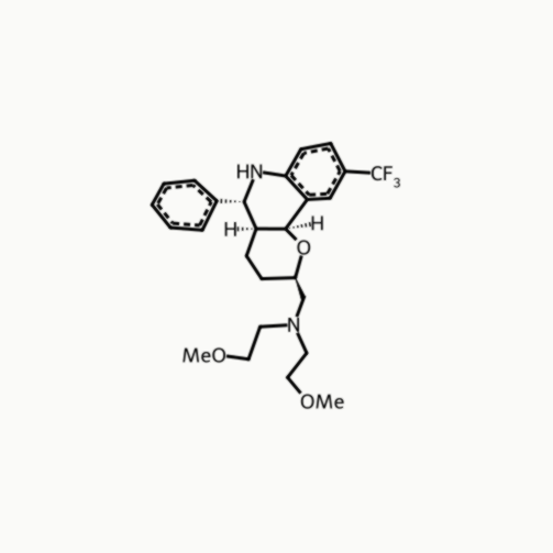 COCCN(CCOC)C[C@H]1CC[C@@H]2[C@H](O1)c1cc(C(F)(F)F)ccc1N[C@H]2c1ccccc1